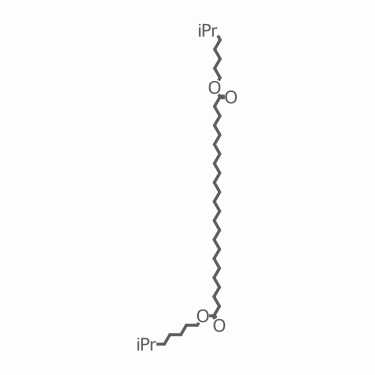 CC(C)CCCCCOC(=O)CCCCCCCCCCCCCCCCCCCCCCC(=O)OCCCCCC(C)C